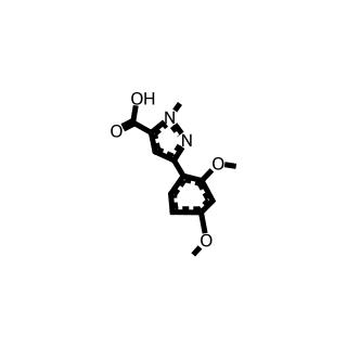 COc1ccc(-c2cc(C(=O)O)n(C)n2)c(OC)c1